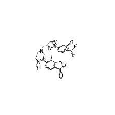 Cc1c([C@@H]2CN(Cc3cnn(-c4ccn(C(F)F)c(=O)c4)n3)CCN2)ccc2c1COC2=O